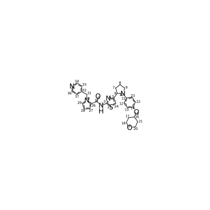 O=C(Nc1nc(C2CCCN2c2ccc(OC3CCOCC3)cc2)cs1)c1cccn1Cc1ccncc1